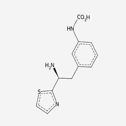 N[C@@H](Cc1cccc(NC(=O)O)c1)c1nccs1